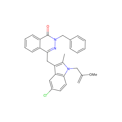 C=C(Cn1c(C)c(Cc2nn(Cc3ccccc3)c(=O)c3ccccc23)c2cc(Cl)ccc21)OC